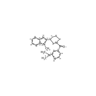 CN(C)c1cc(C(=O)N2CCCC(c3nc4ccccc4n3C)C2)ccn1